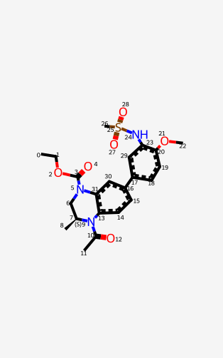 CCOC(=O)N1C[C@H](C)N(C(C)=O)c2ccc(-c3ccc(OC)c(NS(C)(=O)=O)c3)cc21